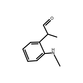 CNc1ccccc1C(C)C=O